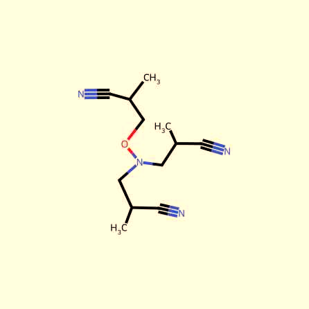 CC(C#N)CON(CC(C)C#N)CC(C)C#N